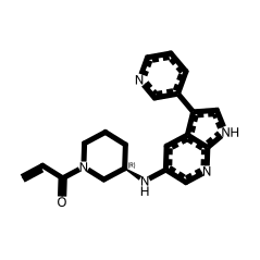 C=CC(=O)N1CCC[C@@H](Nc2cnc3[nH]cc(-c4cccnc4)c3c2)C1